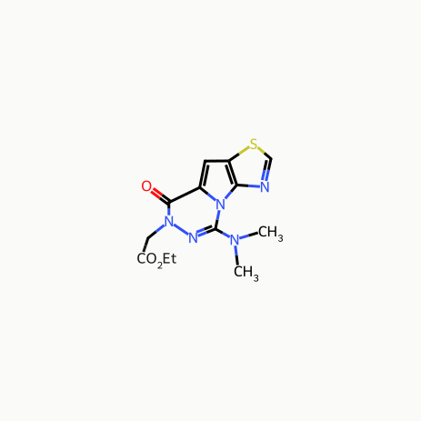 CCOC(=O)Cn1nc(N(C)C)n2c(cc3scnc32)c1=O